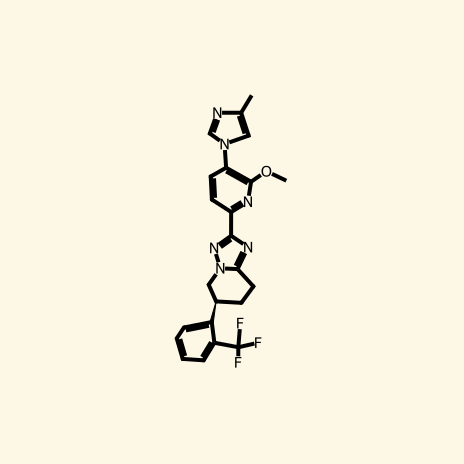 COc1nc(-c2nc3n(n2)C[C@H](c2ccccc2C(F)(F)F)CC3)ccc1-n1cnc(C)c1